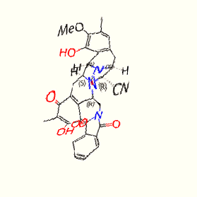 COc1c(C)cc2c(c1O)[C@@H]1[C@@H]3CC4=C(C(=O)C(O)=C(C)C4=O)[C@H](CN4C(=O)c5ccccc5C4=O)N3[C@@H](C#N)[C@H](C2)N1C